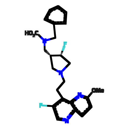 COc1ccc2ncc(F)c(CCN3C[C@H](CN(Cc4ccccc4)C(=O)O)[C@H](F)C3)c2n1